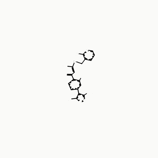 C/C(=C\C(=O)c1ccc(-c2c(C)noc2C)cc1F)NCc1cccnc1N